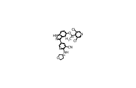 C[C@@H](Oc1ccc2[nH]nc(-c3cnc(N[C@@H]4CCOC4)c(C#N)c3)c2c1)c1c(Cl)cncc1Cl